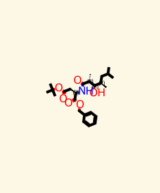 CC(C)C[C@@H](C)[C@@H](O)[C@@H](C)C(=O)N[C@H](CC(=O)OC(C)(C)C)C(=O)OCc1ccccc1